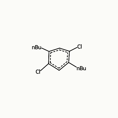 CCCCc1cc(Cl)c(CCCC)cc1Cl